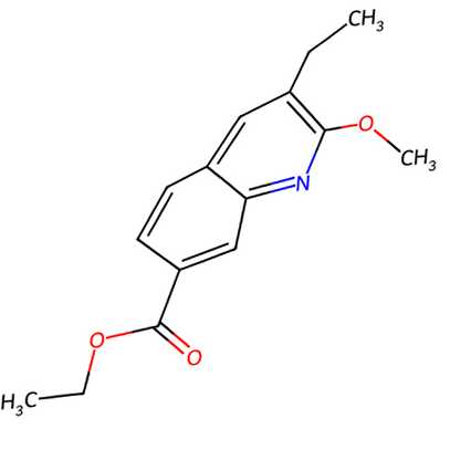 CCOC(=O)c1ccc2cc(CC)c(OC)nc2c1